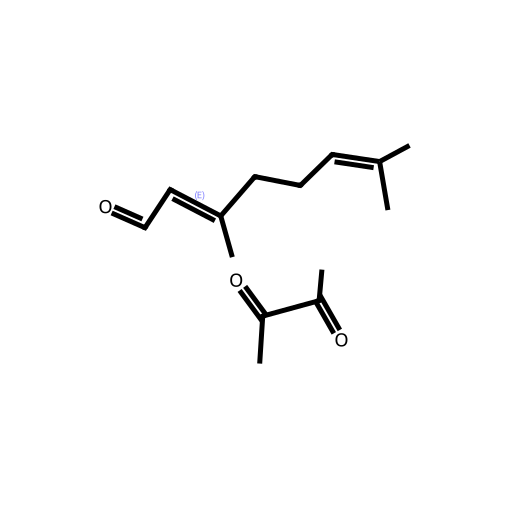 CC(=O)C(C)=O.CC(C)=CCC/C(C)=C/C=O